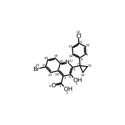 O=C(O)c1c(O)c(C2(c3ccc(Cl)cc3)CC2)nc2ccc(Br)cc12